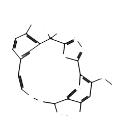 COC1CCC=Cc2ccc(F)c(c2)C(O)(C(F)(F)F)c2nnc(o2)-c2nc1c(C(F)(F)F)cc2NC(=O)O